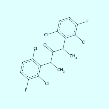 CC(C(=O)C(C)c1c(Cl)ccc(F)c1Cl)c1c(Cl)ccc(F)c1Cl